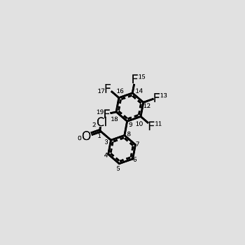 O=C(Cl)c1ccccc1-c1c(F)c(F)c(F)c(F)c1F